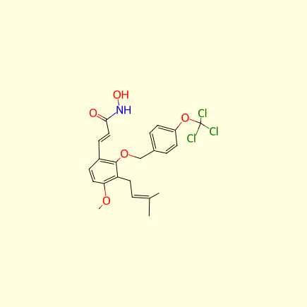 COc1ccc(/C=C/C(=O)NO)c(OCc2ccc(OC(Cl)(Cl)Cl)cc2)c1CC=C(C)C